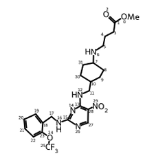 COC(=O)CCCNC1CCC(CNc2nc(NCc3ccccc3OC(F)(F)F)ncc2[N+](=O)[O-])CC1